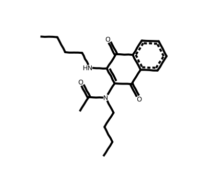 CCCCNC1=C(N(CCCC)C(C)=O)C(=O)c2ccccc2C1=O